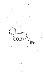 CC(C)Cc1ccc(-c2ccccc2C(=O)O)cc1